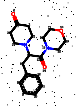 O=C1CCN(C(Cc2ccccc2)C(=O)N2CCOCC2)CC1